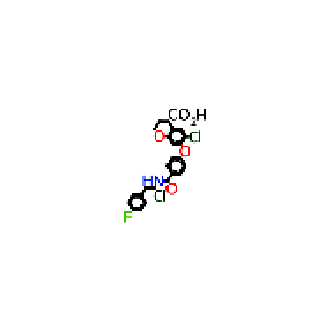 O=C(NC(Cl)Cc1ccc(F)cc1)c1ccc(Oc2cc3c(cc2Cl)C(C(=O)O)CCO3)cc1